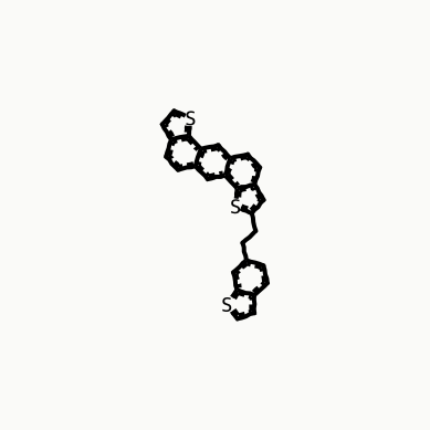 c1cc2ccc(CCc3cc4ccc5cc6c(ccc7ccsc76)cc5c4s3)cc2s1